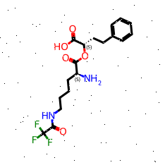 N[C@@H](CCCCNC(=O)C(F)(F)F)C(=O)O[C@@H](CCc1ccccc1)C(=O)O